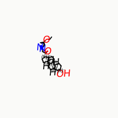 CCOc1cnn(CC(=O)[C@H]2CC[C@H]3[C@@H]4CC[C@@H]5C[C@](C)(O)CC[C@]5(C)[C@H]4CC[C@]23C)c1